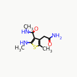 CNC(=O)c1c(NC)sc(C)c1CC(N)=O